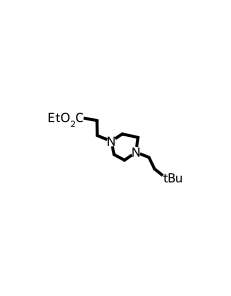 CCOC(=O)CCN1CCN(CCC(C)(C)C)CC1